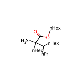 CCCCCCOC(=O)C([SiH3])(CCCCCC)C(CCC)CCCCCC